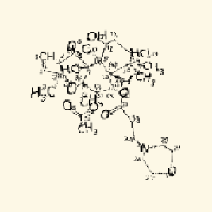 C=C[C@@]1(C)CC(=O)[C@]2(O)[C@@]3(C)C(O)CCC(C)(C)[C@@H]3[C@H](OC(=O)CCN3CCOCC3)[C@H](OC(C)=O)[C@@]2(C)O1.Cl